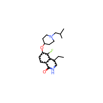 CCc1c[nH]c(=O)c2ccc(OC3CCN(CC(C)C)CC3)c(F)c12